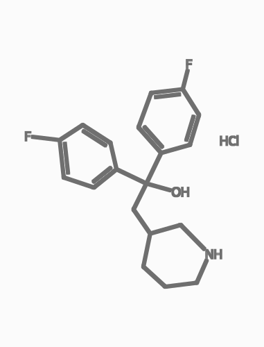 Cl.OC(CC1CCCNC1)(c1ccc(F)cc1)c1ccc(F)cc1